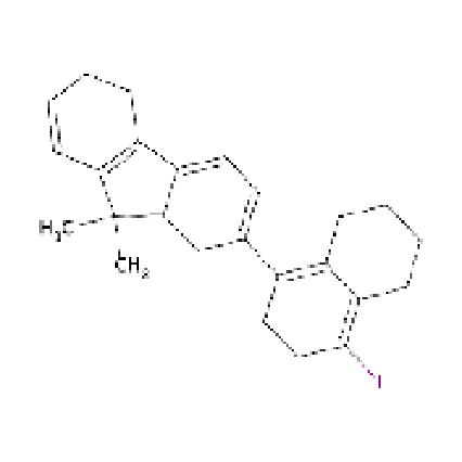 CC1(C)C2=C(CCC=C2)C2=CC=C(C3=C4CCCCC4=C(I)CC3)CC21